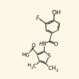 Cc1sc(NC(=O)c2ccc(O)c(F)c2)c(C(=O)O)c1C